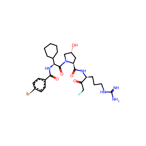 N=C(N)NCCC[C@H](NC(=O)[C@@H]1C[C@@H](O)CN1C(=O)[C@@H](NC(=O)c1ccc(Br)cc1)C1CCCCC1)C(=O)CF